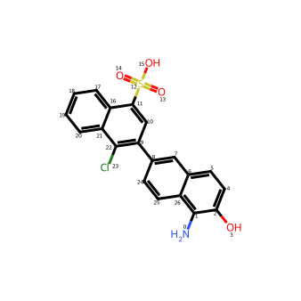 Nc1c(O)ccc2cc(-c3cc(S(=O)(=O)O)c4ccccc4c3Cl)ccc12